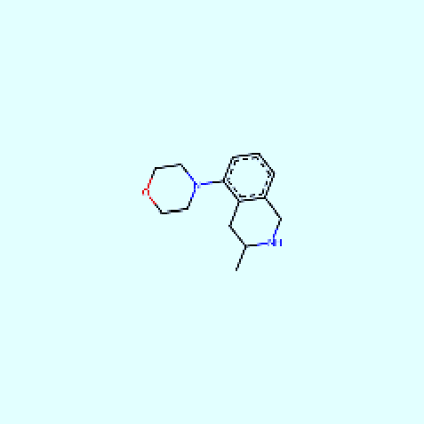 CC1Cc2c(cccc2N2CCOCC2)CN1